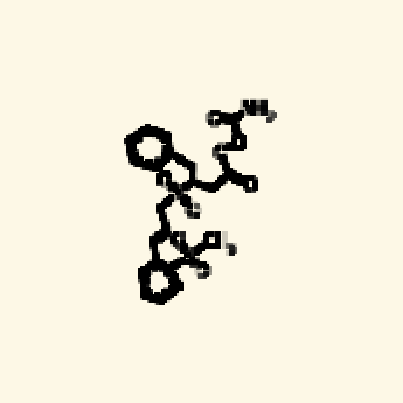 CS(=O)(=O)c1ccccc1C=CCS(=O)(=O)C(CC(=O)OOC(N)=O)Cc1ccccc1